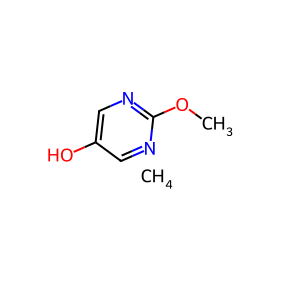 C.COc1ncc(O)cn1